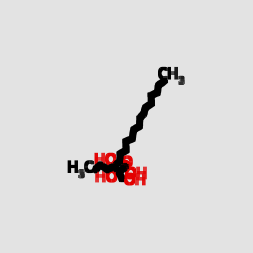 CCCCCCCCCCCCCCCCC(O)(CCCC)C(O)(CO)C(=O)O